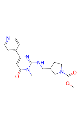 COC(=O)N1CCC(CNc2nc(-c3ccncc3)cc(=O)n2C)C1